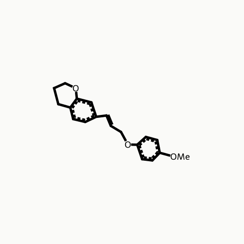 COc1ccc(OC/C=C/c2ccc3c(c2)OCCC3)cc1